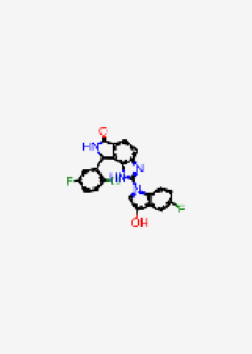 O=C1NC(c2cc(F)ccc2Cl)c2c1ccc1nc(-n3cc(O)c4cc(F)ccc43)[nH]c21